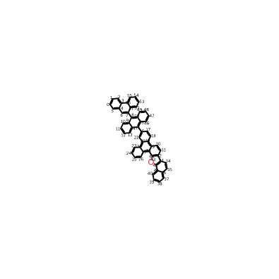 c1ccc2c(c1)cc(-c1c3ccccc3c(-c3ccc4c(c3)c3ccccc3c3c4ccc4c5ccc6ccccc6c5oc43)c3ccccc13)c1ccccc12